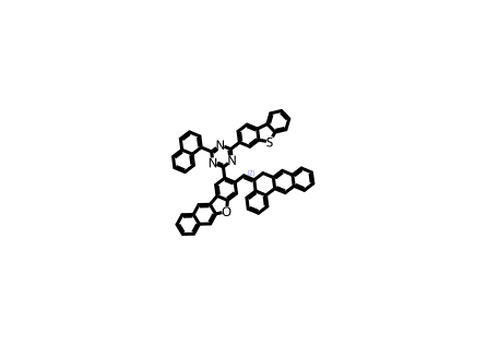 C(=C1\Cc2cc3ccccc3cc2-c2ccccc21)/c1cc2oc3cc4ccccc4cc3c2cc1-c1nc(-c2ccc3c(c2)sc2ccccc23)nc(-c2cccc3ccccc23)n1